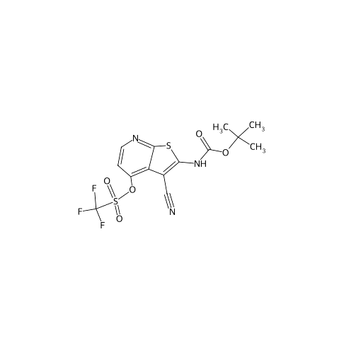 CC(C)(C)OC(=O)Nc1sc2nccc(OS(=O)(=O)C(F)(F)F)c2c1C#N